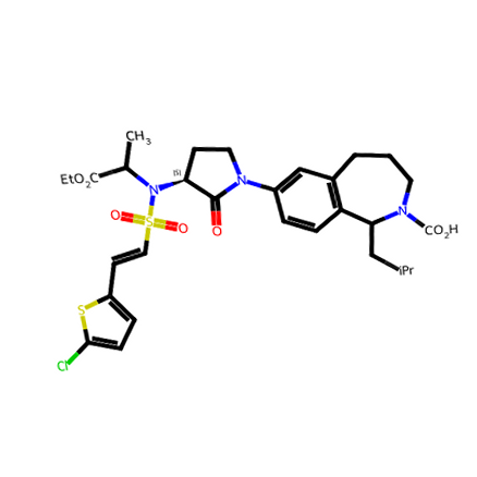 CCOC(=O)C(C)N([C@H]1CCN(c2ccc3c(c2)CCCN(C(=O)O)C3CC(C)C)C1=O)S(=O)(=O)C=Cc1ccc(Cl)s1